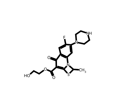 CC1Sc2c(C(=O)OCCO)c(=O)c3cc(F)c(N4CCNCC4)cc3n21